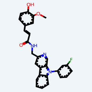 COc1cc(/C=C/C(=O)NCc2cc3c4ccccc4n(-c4cccc(F)c4)c3cn2)ccc1O